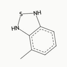 Cc1cccc2c1NSN2